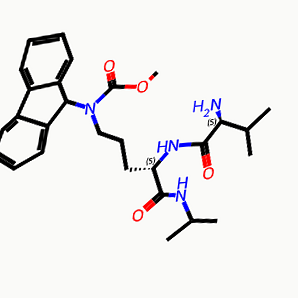 COC(=O)N(CCC[C@H](NC(=O)[C@@H](N)C(C)C)C(=O)NC(C)C)C1c2ccccc2-c2ccccc21